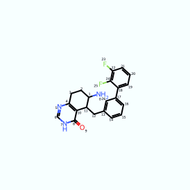 NC1CCc2nc[nH]c(=O)c2C1Cc1cccc(-c2cccc(F)c2F)c1